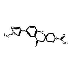 Cn1cc(-c2ccc3c(c2)C(=O)CC2(CCN(C(=O)O)CC2)O3)cn1